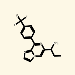 CCC(N)c1cn2ccnc2c(-c2ccc(C(F)(F)F)cc2)n1